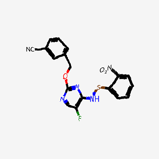 N#Cc1cccc(COc2ncc(F)c(NSc3ccccc3[N+](=O)[O-])n2)c1